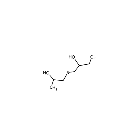 CC(O)CSCC(O)CO